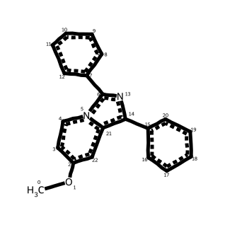 COc1ccn2c(-c3ccccc3)nc(-c3ccccc3)c2c1